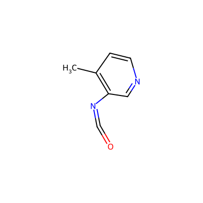 Cc1ccncc1N=C=O